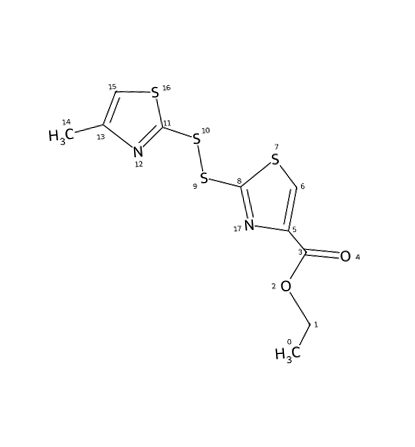 CCOC(=O)c1csc(SSc2nc(C)cs2)n1